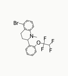 CN1c2cccc(Br)c2CCC1c1ccccc1OC(F)(F)C(F)F